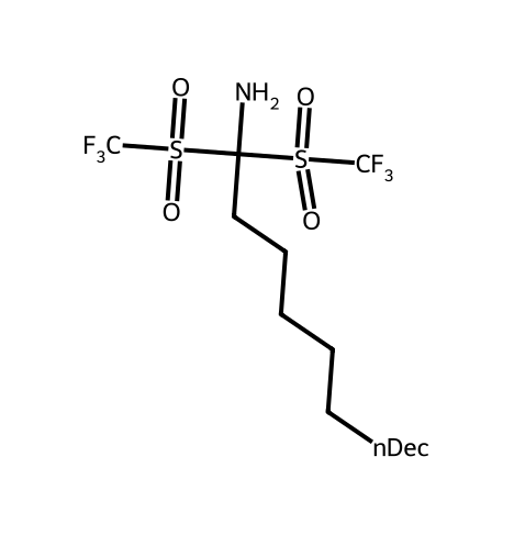 CCCCCCCCCCCCCCCC(N)(S(=O)(=O)C(F)(F)F)S(=O)(=O)C(F)(F)F